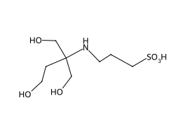 O=S(=O)(O)CCCNC(CO)(CO)CCO